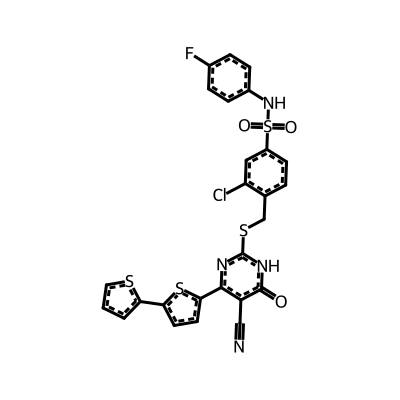 N#Cc1c(-c2ccc(-c3cccs3)s2)nc(SCc2ccc(S(=O)(=O)Nc3ccc(F)cc3)cc2Cl)[nH]c1=O